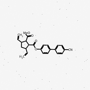 C=CC1CC(C=C)C(C(=O)Oc2ccc(-c3ccc(C#N)cc3)cc2)C1C(=O)OC